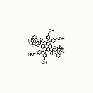 O=C(OC(C(F)(F)F)C(F)(F)F)C(Cc1ccccc1)N1C(=O)c2cc(Oc3ccc(CCO)cc3)c3c4c(Oc5ccc(CCO)cc5)cc5c6c(cc(Oc7ccc(CCO)cc7)c(c7c(Oc8ccc(CCO)cc8)cc(c2c37)C1=O)c64)C(=O)N(C(Cc1ccccc1)C(=O)OC(C(F)(F)F)C(F)(F)F)C5=O